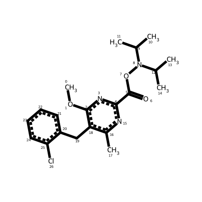 COc1nc(C(=O)ON(C(C)C)C(C)C)nc(C)c1Cc1ccccc1Cl